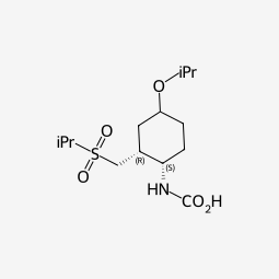 CC(C)OC1CC[C@H](NC(=O)O)[C@H](CS(=O)(=O)C(C)C)C1